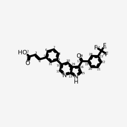 O=C(O)C=Cc1cccc(-c2cnc3[nH]cc(C(=O)c4cccc(C(F)(F)F)c4)c3c2)c1